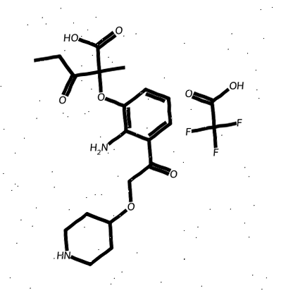 CCC(=O)C(C)(Oc1cccc(C(=O)COC2CCNCC2)c1N)C(=O)O.O=C(O)C(F)(F)F